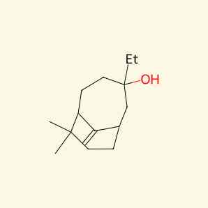 C=C1C2CCC(C)(C)C1CCC(O)(CC)C2